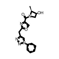 C[C@H]1[C@@H](O)CN1C(=O)c1coc(Cc2cn(-c3ccccc3)nn2)n1